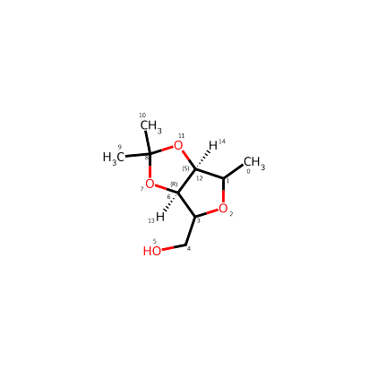 CC1OC(CO)[C@H]2OC(C)(C)O[C@@H]12